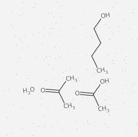 CC(=O)O.CC(C)=O.CCCCO.O